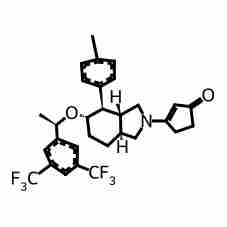 Cc1ccc([C@H]2[C@@H]3CN(C4=CC(=O)CC4)C[C@H]3CC[C@@H]2O[C@H](C)c2cc(C(F)(F)F)cc(C(F)(F)F)c2)cc1